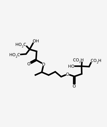 CC(CCCOC(=O)CC(O)(CC(=O)O)C(=O)O)OC(=O)CC(O)(CC(=O)O)C(=O)O